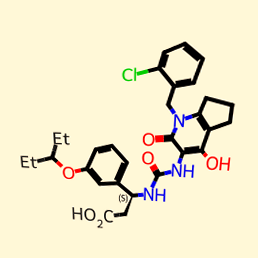 CCC(CC)Oc1cccc([C@H](CC(=O)O)NC(=O)Nc2c(O)c3c(n(Cc4ccccc4Cl)c2=O)CCC3)c1